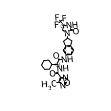 Cc1nonc1C(=O)N[C@H](C(=O)Nc1ccc2c(c1)CC(N1C[C@@H](C(F)(F)F)NC1=O)C2)C1CCCCC1